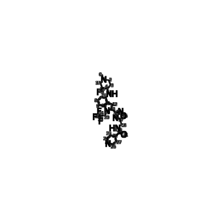 CN1CC[C@@H](Nc2cccc3c2cc(-c2noc(CNC(=O)c4ccncc4)n2)n3CC(F)(F)F)[C@@H](F)C1